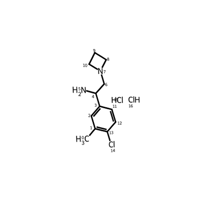 Cc1cc(C(N)CN2CCC2)ccc1Cl.Cl.Cl